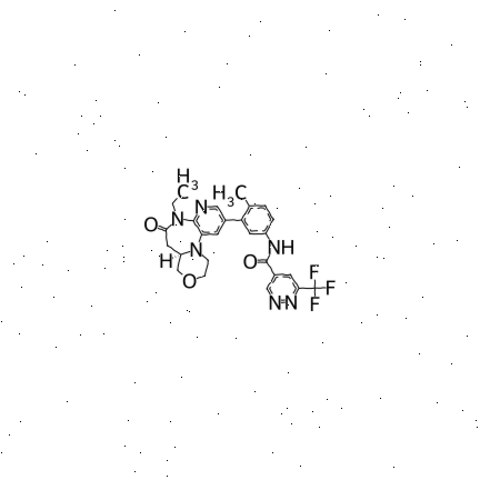 CCN1C(=O)C[C@@H]2COCCN2c2cc(-c3cc(NC(=O)c4cnnc(C(F)(F)F)c4)ccc3C)cnc21